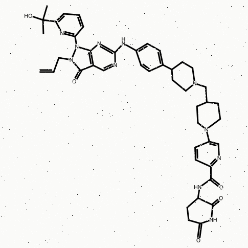 C=CCn1c(=O)c2cnc(Nc3ccc(C4CCN(CC5CCN(c6ccc(C(=O)NC7CCC(=O)NC7=O)nc6)CC5)CC4)cc3)nc2n1-c1cccc(C(C)(C)O)n1